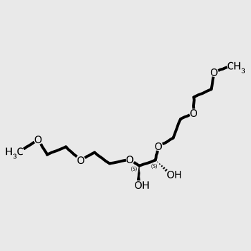 COCCOCCO[C@H](O)[C@@H](O)OCCOCCOC